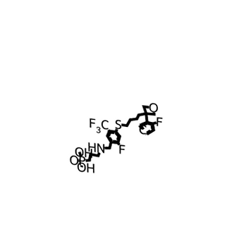 O=P(O)(O)CCCNCc1cc(C(F)(F)F)c(SCCCCC2(c3ccccc3F)COC2)cc1F